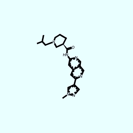 CC(C)CN1CCC[C@@H](C(=O)Nc2cc3cc(-c4cnn(C)c4)ncc3cn2)C1